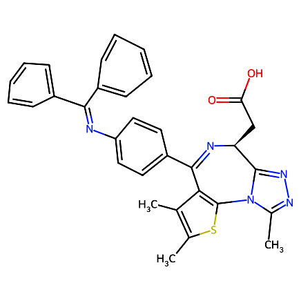 Cc1sc2c(c1C)C(c1ccc(N=C(c3ccccc3)c3ccccc3)cc1)=N[C@@H](CC(=O)O)c1nnc(C)n1-2